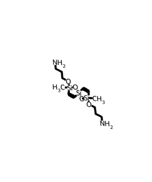 C[Si]1(OCCCN)C#C[Si]2(C#C[Si](C)(OCCCN)O2)O1